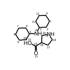 C1CCC(NC2CCCCC2)CC1.O=C(O)C1CCNC1